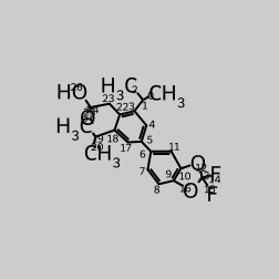 CC(C)c1cc(-c2ccc3c(c2)OC(F)(F)O3)cc(C(C)C)c1CC(=O)O